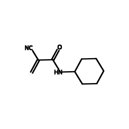 C=C(C#N)C(=O)NC1CCCCC1